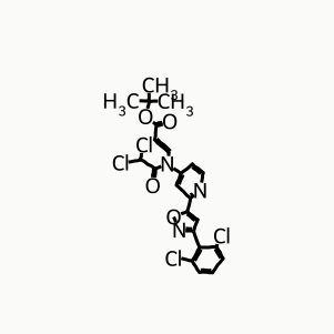 CC(C)(C)OC(=O)C=CN(C(=O)C(Cl)Cl)c1ccnc(-c2cc(-c3c(Cl)cccc3Cl)no2)c1